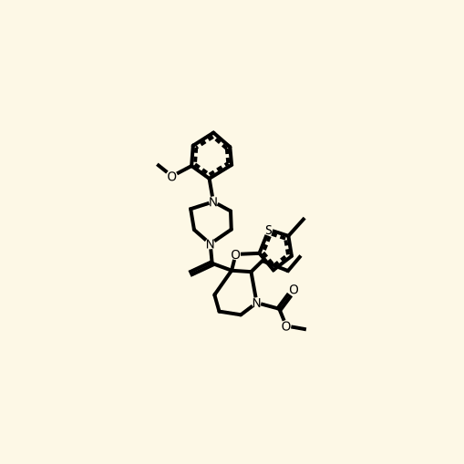 C=C(N1CCN(c2ccccc2OC)CC1)C1(Oc2ccc(C)s2)CCCN(C(=O)OC)C1CCC